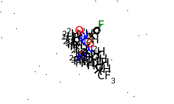 [2H]c1c([2H])c(-c2c([2H])c([2H])c(C(F)(F)F)c(C)c2[2H])c([2H])c([2H])c1CN(C(=O)Cn1c(SC([2H])([2H])c2ccc(F)cc2)nc(=O)c2c1C([2H])([2H])C([2H])([2H])C2([2H])[2H])C([2H])([2H])C([2H])([2H])N(C([2H])([2H])C)C([2H])([2H])C